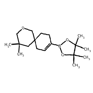 CC1(C)COCC2(CC=C(B3OC(C)(C)C(C)(C)O3)CC2)C1